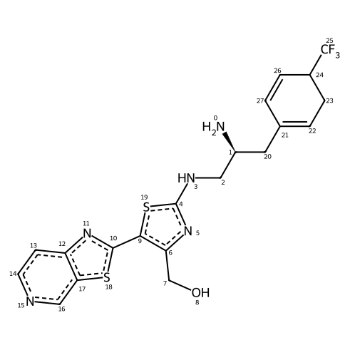 N[C@H](CNc1nc(CO)c(-c2nc3ccncc3s2)s1)CC1=CCC(C(F)(F)F)C=C1